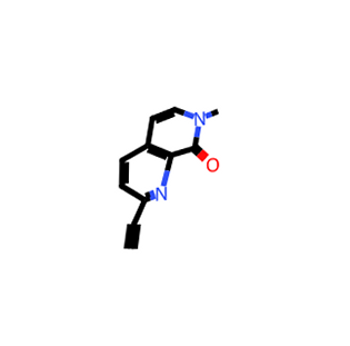 C#Cc1ccc2ccn(C)c(=O)c2n1